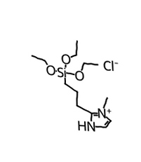 CCO[Si](CCCc1[nH]cc[n+]1C)(OCC)OCC.[Cl-]